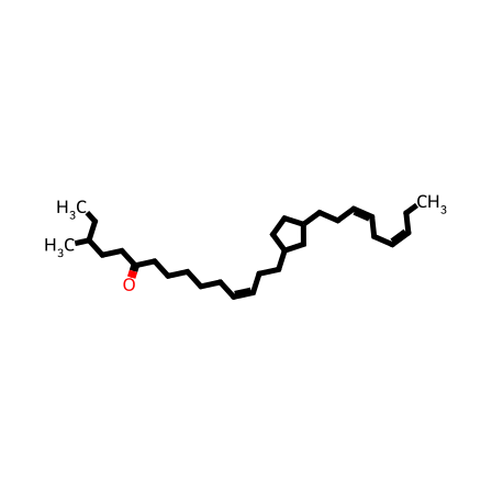 CC/C=C\C/C=C\CCC1CCC(CC/C=C\CCCCCC(=O)CCC(C)CC)C1